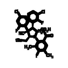 Cc1cc(C(N)=O)c(N2[C@@H](CC(C)(C)C)[C@](C#N)(c3ccc(Cl)cc3F)[C@@H](c3cccc(Cl)c3F)[C@@H]2C(=O)O)c(C)c1I